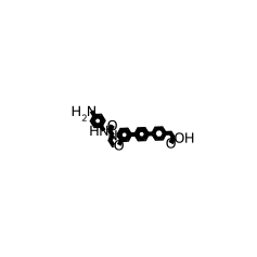 Nc1ccc(NC(=O)N2CCOc3cc(-c4ccc(C5CCC(CC(=O)O)CC5)cc4)ccc32)cc1